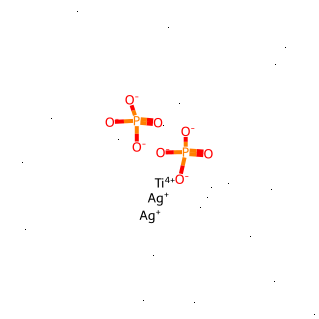 O=P([O-])([O-])[O-].O=P([O-])([O-])[O-].[Ag+].[Ag+].[Ti+4]